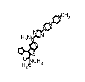 CN1CCC(N2CCN(c3cnc(N(N)c4cc5c(C6CCCC6)c(C(=O)N(C)C)sc5cn4)cn3)CC2)CC1